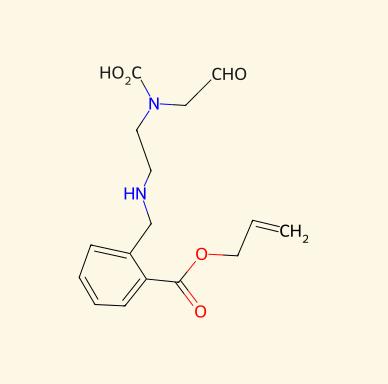 C=CCOC(=O)c1ccccc1CNCCN(CC=O)C(=O)O